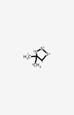 CC1(C)CSSS1